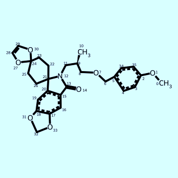 COc1ccc(COC[C@H](C)CN2C(=O)c3cc4c(cc3C23CCC2(CC3)OC=CO2)OCO4)cc1